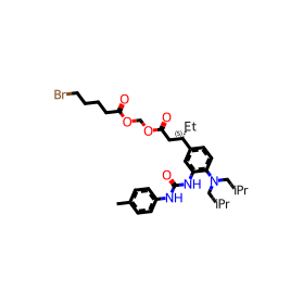 CC[C@@H](CC(=O)OCOC(=O)CCCCBr)c1ccc(N(CC(C)C)CC(C)C)c(NC(=O)Nc2ccc(C)cc2)c1